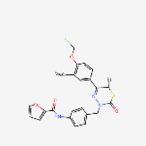 CCC1SC(=O)N(Cc2ccc(NC(=O)c3ccco3)cc2)N=C1c1ccc(OCF)c(OC)c1